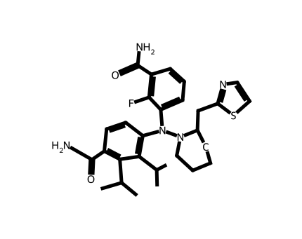 CC(C)c1c(C(N)=O)ccc(N(c2cccc(C(N)=O)c2F)N2CCCCC2Cc2nccs2)c1C(C)C